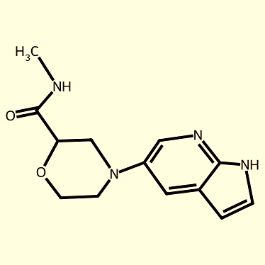 CNC(=O)C1CN(c2cnc3[nH]ccc3c2)CCO1